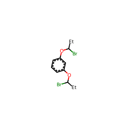 CCC(Br)Oc1cccc(OC(Br)CC)c1